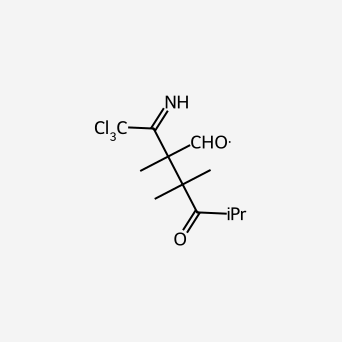 CC(C)C(=O)C(C)(C)C(C)([C]=O)C(=N)C(Cl)(Cl)Cl